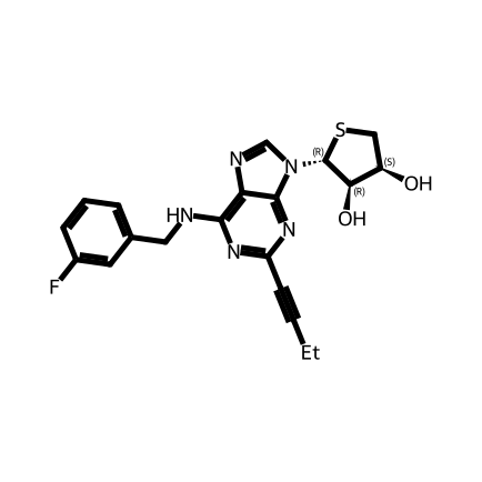 CCC#Cc1nc(NCc2cccc(F)c2)c2ncn([C@@H]3SC[C@@H](O)[C@H]3O)c2n1